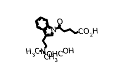 CN(C)CCc1cn(C(=O)CCCC(=O)O)c2ccccc12.O=CO